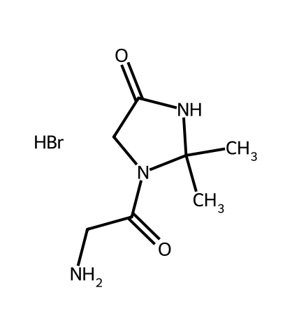 Br.CC1(C)NC(=O)CN1C(=O)CN